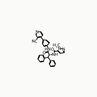 Cn1nccc1C(=O)N[C@H](C(=O)Nc1ccc(-c2ccncc2C#N)cc1)C(c1ccccc1)c1ccccc1